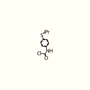 CC(C)Sc1ccc(NC(=O)Cl)cc1